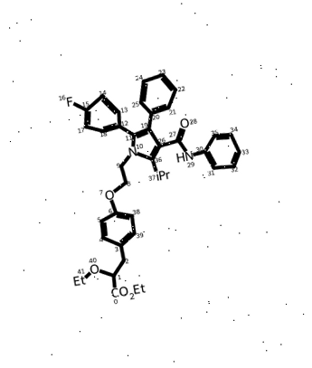 CCOC(=O)C(Cc1ccc(OCCn2c(-c3ccc(F)cc3)c(-c3ccccc3)c(C(=O)Nc3ccccc3)c2C(C)C)cc1)OCC